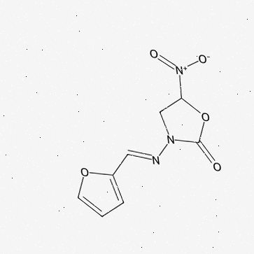 O=C1OC([N+](=O)[O-])CN1N=Cc1ccco1